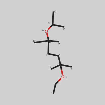 CCOC(C)(C)CCC(C)(C)OC(C)C